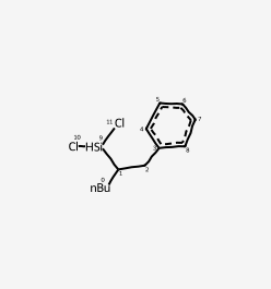 CCCCC(Cc1ccccc1)[SiH](Cl)Cl